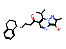 Cc1nn2c(C(C)C)c(C(=O)CCC[C@H]3CCCc4ccccc43)cnc2c1Br